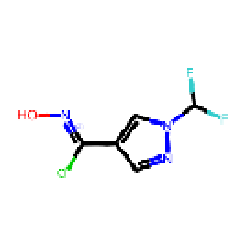 O/N=C(\Cl)c1cnn(C(F)F)c1